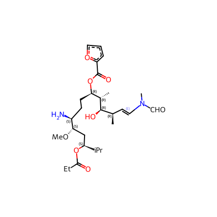 CCC(=O)O[C@@H](C[C@H](OC)[C@@H](N)CC[C@@H](OC(=O)c1ccco1)[C@H](C)[C@H](O)[C@H](C)/C=C/N(C)C=O)C(C)C